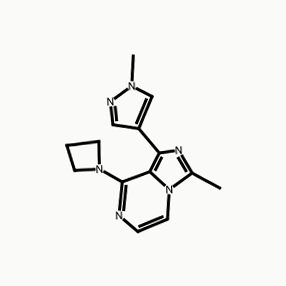 Cc1nc(-c2cnn(C)c2)c2c(N3CCC3)nccn12